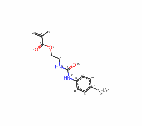 C=C(C)C(=O)OCCNC(=O)Nc1ccc(NC(C)=O)cc1